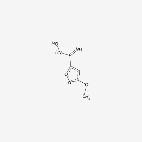 COc1cc(C(=N)NO)on1